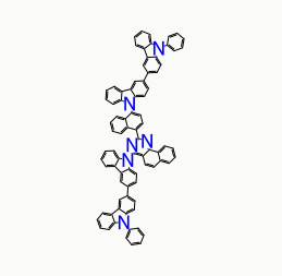 c1ccc(-n2c3ccccc3c3cc(-c4ccc5c(c4)c4ccccc4n5-c4ccc(-c5nc(-n6c7ccccc7c7cc(-c8ccc9c(c8)c8ccccc8n9-c8ccccc8)ccc76)c6ccc7ccccc7c6n5)c5ccccc45)ccc32)cc1